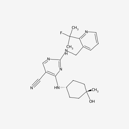 CC(C)(F)c1ncccc1CNc1ncc(C#N)c(N[C@H]2CC[C@@](C)(O)CC2)n1